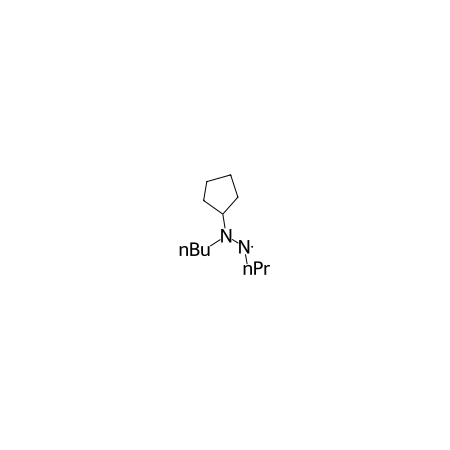 CCCCN([N]CCC)C1CCCC1